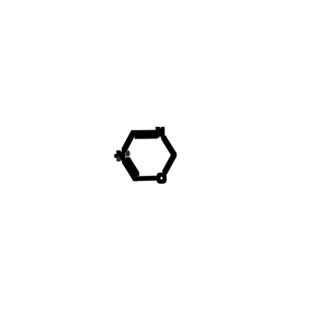 C1=NCOC=[N+]1